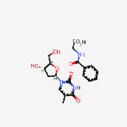 Cc1cn([C@H]2C[C@H](O)[C@@H](CO)O2)c(=O)[nH]c1=O.O=C(O)CNC(=O)c1ccccc1